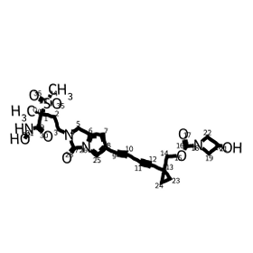 C[C@@](CCN1Cc2cc(C#CC#CC3(COC(=O)N4CC(O)C4)CC3)cn2C1=O)(C(=O)NO)S(C)(=O)=O